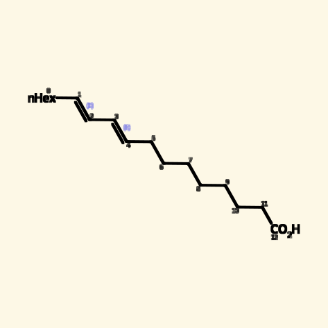 CCCCCC/C=C/C=C/CCCCCCCC(=O)O